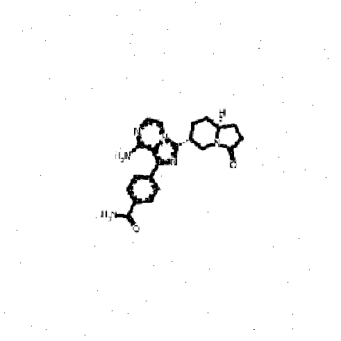 NC(=O)c1ccc(-c2nc([C@@H]3CC[C@H]4CCC(=O)N4C3)n3ccnc(N)c23)cc1